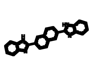 c1ccc2[nH]c(-c3ccc4cc(-c5nc6ccccc6[nH]5)ccc4c3)nc2c1